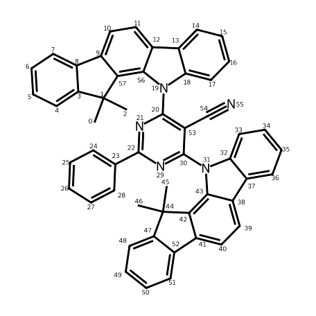 CC1(C)c2ccccc2-c2ccc3c4ccccc4n(-c4nc(-c5ccccc5)nc(-n5c6ccccc6c6ccc7c(c65)C(C)(C)c5ccccc5-7)c4C#N)c3c21